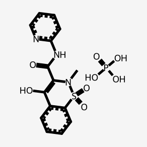 CN1C(C(=O)Nc2ccccn2)=C(O)c2ccccc2S1(=O)=O.O=P(O)(O)O